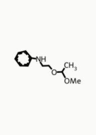 COC(C)OCCNc1ccccc1